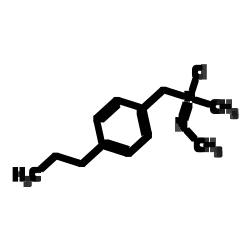 CCCc1ccc(CP(C)(Cl)=NC)cc1